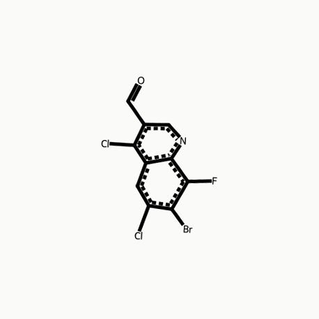 O=Cc1cnc2c(F)c(Br)c(Cl)cc2c1Cl